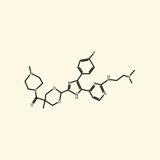 CN(C)CCNc1nccc(-c2[nH]c(C3OCC(C)(C(=O)N4CCN(C)CC4)CO3)nc2-c2ccc(F)cc2)n1